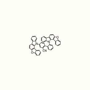 N#Cc1cc(-n2c3ccccc3c3ccc4oc5ccccc5c4c32)ccc1-c1ccccc1-n1c2ccccc2c2ccc3oc4ccccc4c3c21